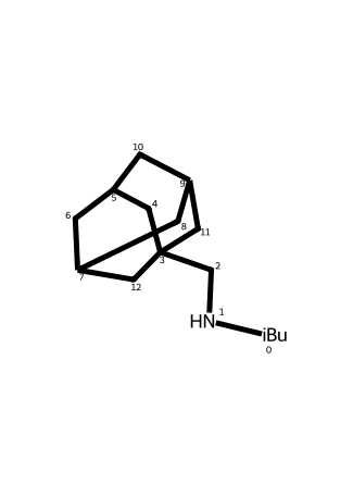 CCC(C)NCC12CC3CC(CC(C3)C1)C2